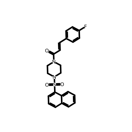 O=C(C=Cc1ccc(F)cc1)N1CCN(S(=O)(=O)c2cccc3ccccc23)CC1